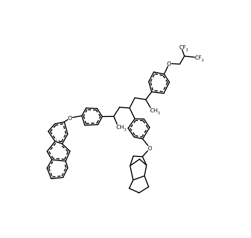 CC(CC(CC(C)c1ccc(Oc2ccc3cc4ccccc4cc3c2)cc1)c1ccc(OC2CC3CC2C2CCCC32)cc1)c1ccc(OCC(C(F)(F)F)C(F)(F)F)cc1